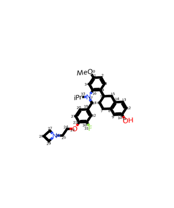 COc1ccc(C2CCc3cc(O)ccc3C2)c(N(Cc2ccc(OCCN3CCC3)c(F)c2)C(C)C)c1